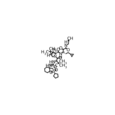 C#CCNC(=O)C(=O)[C@H](CCC1CC1)NC(=O)[C@@H]1[C@@H]2[C@H](CN1C(=O)[C@@H](NC(=O)NC1(CS(=O)(=O)C3CCCC3)CCCCC1)C(C)(C)C)C2(C)C